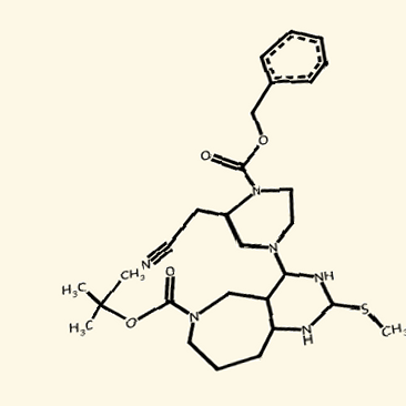 CSC1NC2CCCN(C(=O)OC(C)(C)C)CC2C(N2CCN(C(=O)OCc3ccccc3)C(CC#N)C2)N1